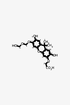 CC1(C)c2cc(O)c(OCOCO)cc2Oc2cc(OCC(=O)O)c(O)cc21